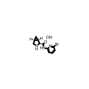 Cl.O=C(Nc1cccc(Br)n1)[C@H]1NC[C@H]2C[C@H]21